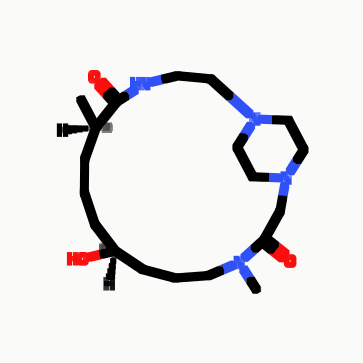 C[C@@H]1CCC[C@H](O)CCCN(C)C(=O)CN2CCN(CCNC1=O)CC2